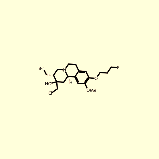 COc1cc2c(cc1OCCCF)CCN1C[C@@H](CC(C)C)C(O)(CCl)C[C@H]21